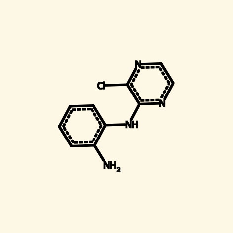 Nc1ccccc1Nc1nccnc1Cl